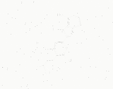 COc1cc(-c2oc3cccc(O)c3c2O)cc(O)c1CC=C(C)C